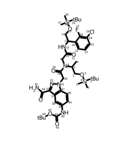 CC(CO[Si](C)(C)C(C)(C)C)N(CC(=O)NC(CO[Si](C)(C)C(C)(C)C)c1cccc(Cl)c1F)C(=O)Cn1nc(C(N)=O)c2cc(NC(=O)OC(C)(C)C)ccc21